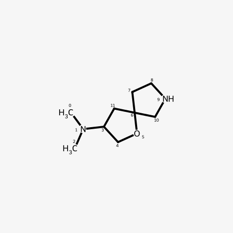 CN(C)C1COC2(CCNC2)C1